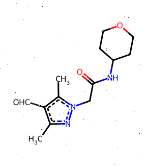 Cc1nn(CC(=O)NC2CCOCC2)c(C)c1C=O